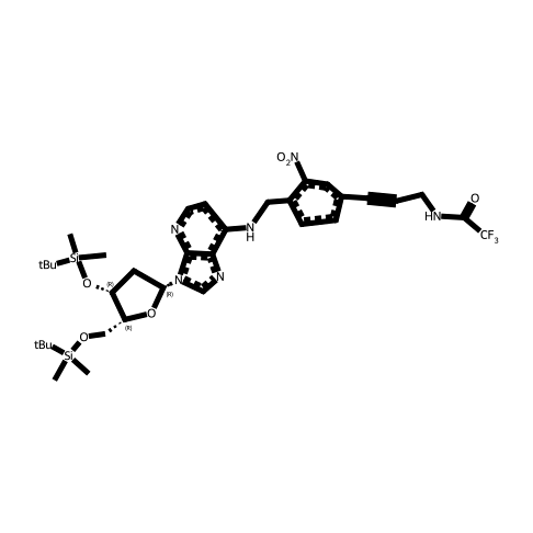 CC(C)(C)[Si](C)(C)OC[C@H]1O[C@@H](n2cnc3c(NCc4ccc(C#CCNC(=O)C(F)(F)F)cc4[N+](=O)[O-])ccnc32)C[C@H]1O[Si](C)(C)C(C)(C)C